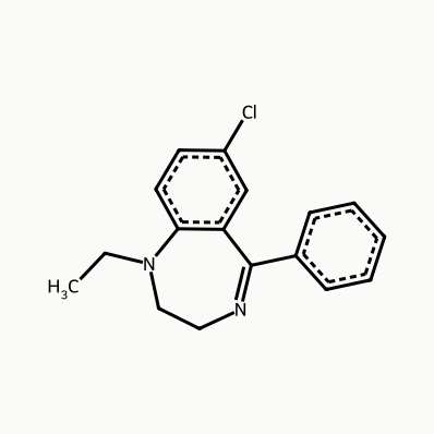 CCN1CCN=C(c2ccccc2)c2cc(Cl)ccc21